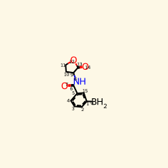 Bc1cccc(C(=O)NC2CCOC2=O)c1